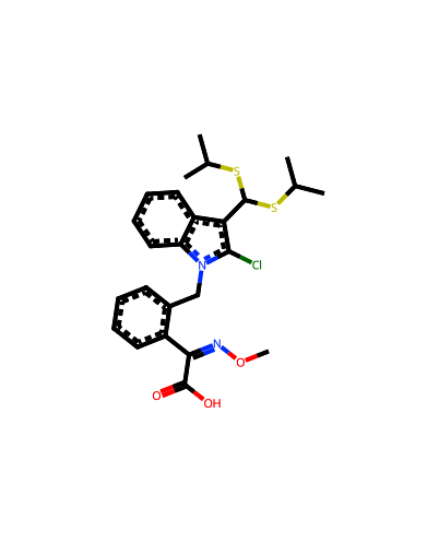 CON=C(C(=O)O)c1ccccc1Cn1c(Cl)c(C(SC(C)C)SC(C)C)c2ccccc21